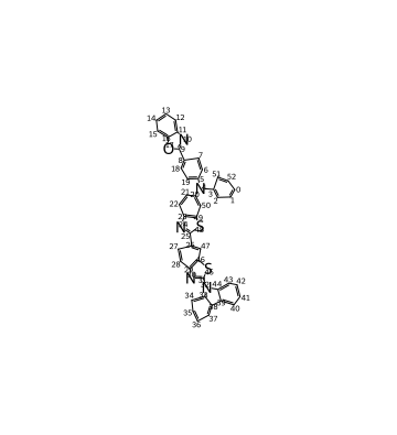 c1ccc(N(c2ccc(-c3nc4ccccc4o3)cc2)c2ccc3nc(-c4ccc5nc(-n6c7ccccc7c7ccccc76)sc5c4)sc3c2)cc1